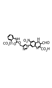 CCOC(=O)c1ccccc1NC(=O)OCc1cn(-c2cc3c(cc2[N+](=O)[O-])NC(C=O)C(C(=O)O)=N3)cn1